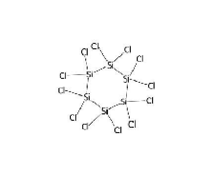 Cl[Si]1(Cl)[Si](Cl)(Cl)[Si](Cl)(Cl)[Si](Cl)(Cl)[Si](Cl)(Cl)[Si]1(Cl)Cl